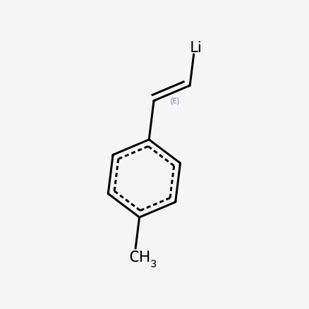 [Li]/[CH]=C/c1ccc(C)cc1